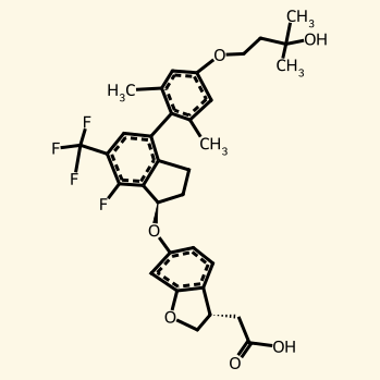 Cc1cc(OCCC(C)(C)O)cc(C)c1-c1cc(C(F)(F)F)c(F)c2c1CC[C@H]2Oc1ccc2c(c1)OC[C@H]2CC(=O)O